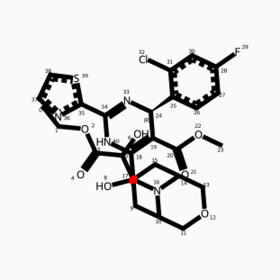 CCOC(=O)C(O)C1(O)CC2COCC(C1)N2CC1=C(C(=O)OC)[C@H](c2ccc(F)cc2Cl)N=C(c2nccs2)N1